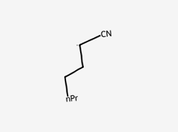 [CH2]CCCC[CH]C#N